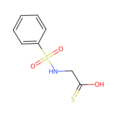 O=S(=O)(NCC(O)=S)c1ccccc1